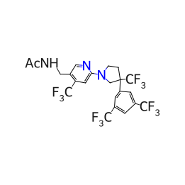 CC(=O)NCc1cnc(N2CCC(c3cc(C(F)(F)F)cc(C(F)(F)F)c3)(C(F)(F)F)C2)cc1C(F)(F)F